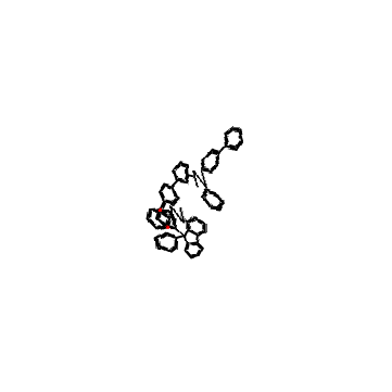 c1ccc(-c2ccc(N(c3ccccc3)c3cccc(-c4ccc5c6ccccc6n(-c6cccc7c6C(c6ccccc6)(c6ccccc6)c6ccccc6-7)c5c4)c3)cc2)cc1